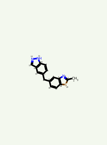 Cc1nc2cc(Cc3ccc4[nH]ncc4c3)ccc2s1